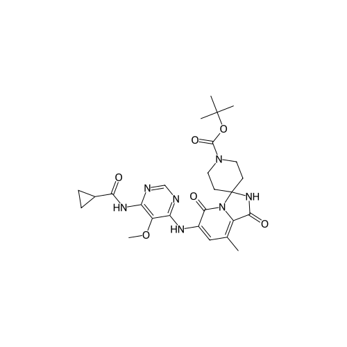 COc1c(NC(=O)C2CC2)ncnc1Nc1cc(C)c2n(c1=O)C1(CCN(C(=O)OC(C)(C)C)CC1)NC2=O